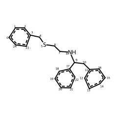 c1ccc(CSCCNC(Cc2ccccc2)c2ccccc2)cc1